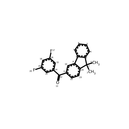 CC1(C)c2ccccc2-c2cc(C(=O)c3cc(F)cc(F)c3)ccc21